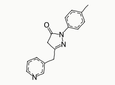 Cc1ccc(N2N=C(Cc3cccnc3)CC2=O)cc1